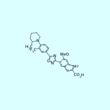 COc1cc2[nH]c(C(=O)O)cc2cc1-c1noc(-c2ccc(N3CCCCC3C)c(C(F)(F)F)c2)n1